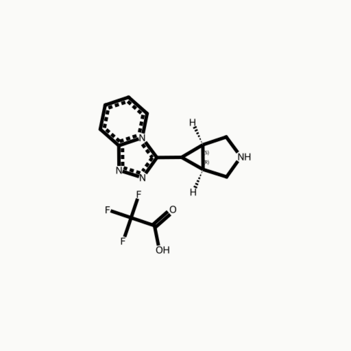 O=C(O)C(F)(F)F.c1ccn2c(C3[C@H]4CNC[C@@H]34)nnc2c1